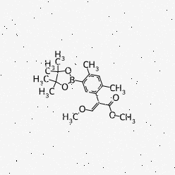 CO/C=C(/C(=O)OC)c1cc(B2OC(C)(C)C(C)(C)O2)c(C)cc1C